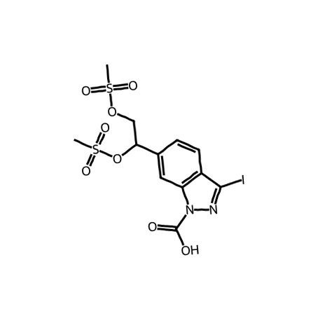 CS(=O)(=O)OCC(OS(C)(=O)=O)c1ccc2c(I)nn(C(=O)O)c2c1